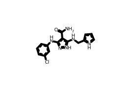 NC(=O)c1c(Nc2cccc(Cl)c2)n[nH]c1NCc1ccc[nH]1